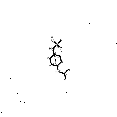 CC(C)NC12CCC(NS(C)(=O)=O)(CC1)CC2